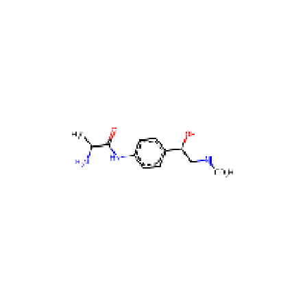 CC(N)C(=O)Nc1ccc(C(O)CNC(=O)O)cc1